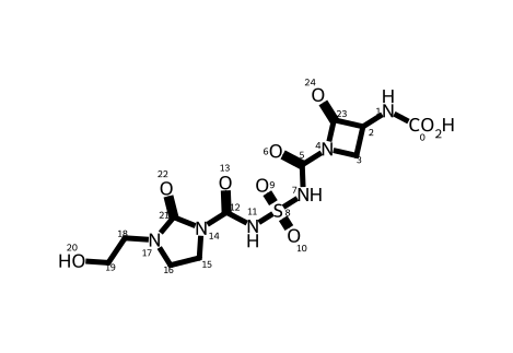 O=C(O)NC1CN(C(=O)NS(=O)(=O)NC(=O)N2CCN(CCO)C2=O)C1=O